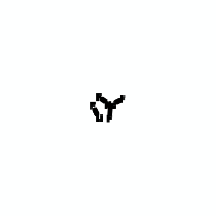 [F][Nd]([F])[F].[Li][F]